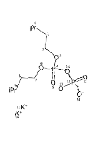 CC(C)CCOP(=O)(OCCC(C)C)OP(=O)([O-])[O-].[K+].[K+]